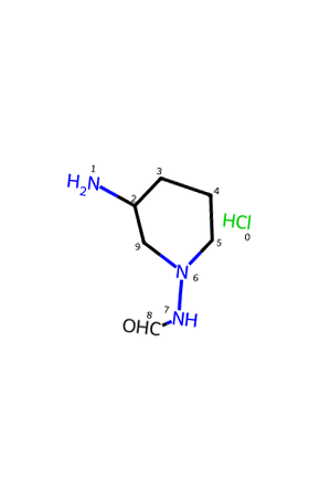 Cl.NC1CCCN(NC=O)C1